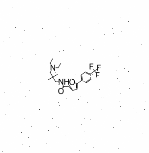 CCN(CC)CC(C)(C)CNC(=O)c1ccc(-c2ccc(C(F)(F)F)cc2)o1